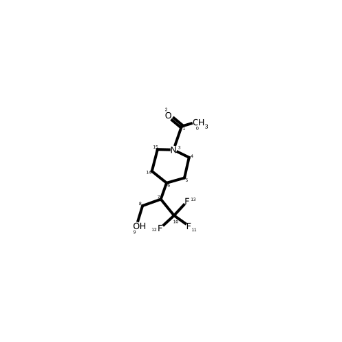 CC(=O)N1CCC(C(CO)C(F)(F)F)CC1